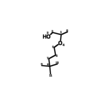 CC(CO)OCCCC(C)(C)C